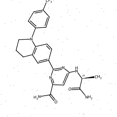 C[C@H](Nc1cc(C(N)=O)nc(-c2ccc3c(c2)CCCN3c2ccc(C(F)(F)F)cc2)n1)C(N)=O